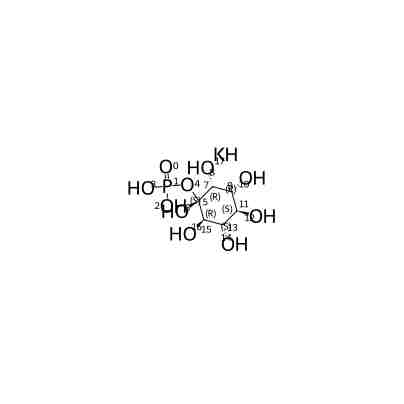 O=P(O)(O)O[C@]1(O)[C@H](O)[C@H](O)[C@@H](O)[C@H](O)[C@H]1O.[KH]